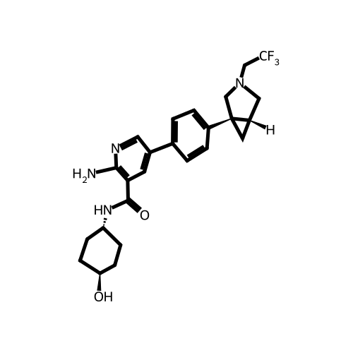 Nc1ncc(-c2ccc([C@]34C[C@H]3CN(CC(F)(F)F)C4)cc2)cc1C(=O)N[C@H]1CC[C@H](O)CC1